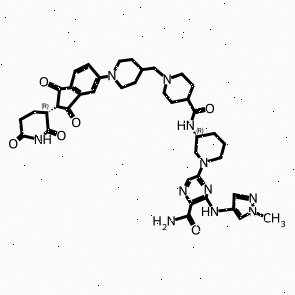 Cn1cc(Nc2nc(N3CCC[C@@H](NC(=O)C4CCN(CC5CCN(c6ccc7c(c6)C(=O)C([C@H]6CCC(=O)NC6=O)C7=O)CC5)CC4)C3)cnc2C(N)=O)cn1